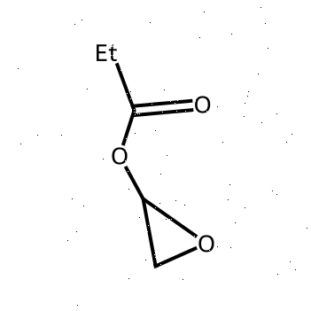 CCC(=O)OC1CO1